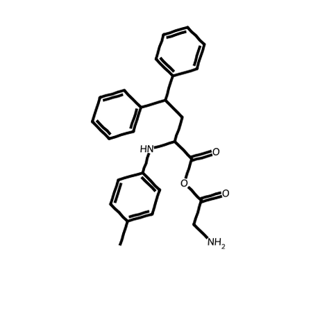 Cc1ccc(NC(CC(c2ccccc2)c2ccccc2)C(=O)OC(=O)CN)cc1